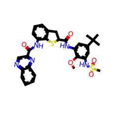 COc1c(NC(=O)C2Cc3cccc(NC(=O)c4cnc5ccccc5n4)c3S2)cc(C(C)(C)C)cc1NS(C)(=O)=O